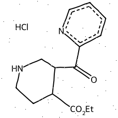 CCOC(=O)C1CCNCC1C(=O)c1ccccn1.Cl